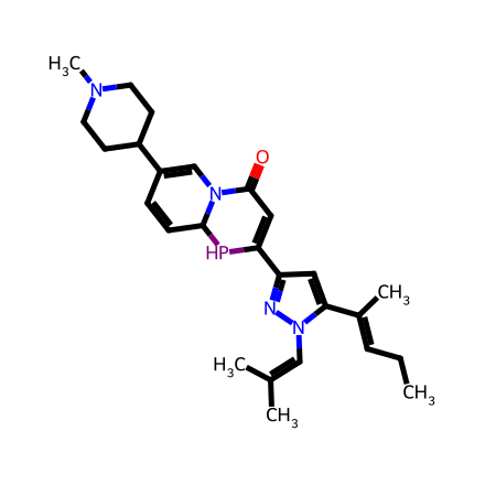 CC/C=C(\C)c1cc(C2=CC(=O)N3C=C(C4CCN(C)CC4)C=CC3P2)nn1C=C(C)C